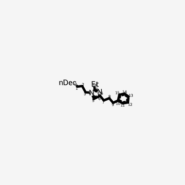 CCCCCCCCCCCCCn1cc(CCCc2ccccc2)nc1CC